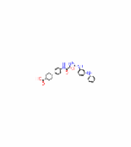 O=C(Nc1ccc([C@H]2CC[C@H](C(=O)O)CC2)cc1)c1nnc(Nc2cccc(Nc3ccccc3)c2)o1